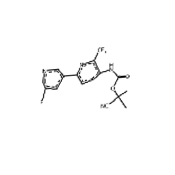 CC(C)(C#N)OC(=O)Nc1ccc(-c2cncc(F)c2)nc1C(F)(F)F